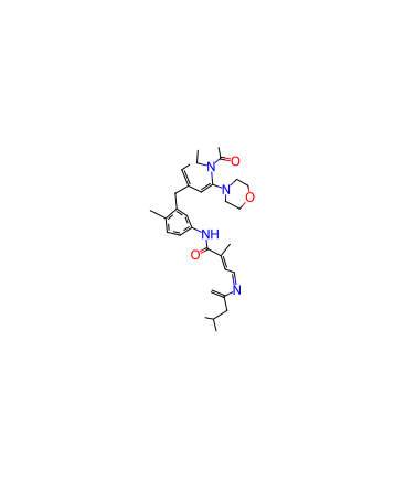 C=C(CC(C)C)/N=C\C=C(/C)C(=O)Nc1ccc(C)c(CC(=C/C)/C=C(/N2CCOCC2)N(CC)C(C)=O)c1